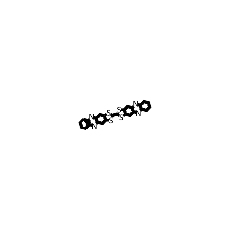 C1=CC2CCC1c1nc3cc4c(cc3nc12)SC(=C1Sc2cc3nc5ccccc5nc3cc2S1)S4